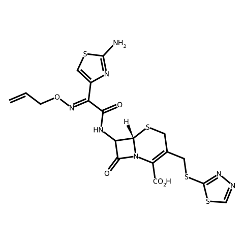 C=CCON=C(C(=O)NC1C(=O)N2C(C(=O)O)=C(CSc3nncs3)CS[C@@H]12)c1csc(N)n1